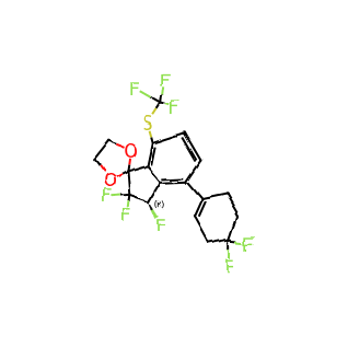 F[C@@H]1c2c(C3=CCC(F)(F)CC3)ccc(SC(F)(F)F)c2C2(OCCO2)C1(F)F